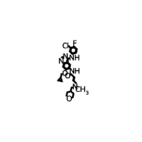 CN(CC=CC(=O)Nc1cc2c(Nc3ccc(F)c(Cl)c3)ncnc2cc1OCC1CC1)CC1CCOCC1